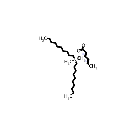 C/C=C/C=C/C(=O)[O-].CCCCCCCCCC[N+](C)(C)CCCCCCCCCC